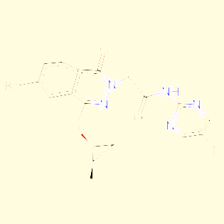 C[C@@H]1C[C@@H]1Oc1nn(CC(=O)Nc2ncc(F)cn2)c(=O)c2ccc(Br)cc12